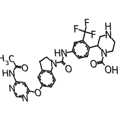 CC(=O)Nc1cc(Oc2ccc3c(c2)CCN3C(=O)Nc2ccc(C3CNCCN3C(=O)O)c(C(F)(F)F)c2)ncn1